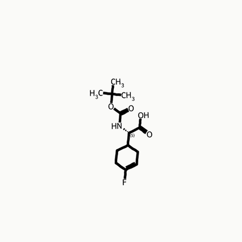 CC(C)(C)OC(=O)N[C@H](C(=O)O)C1CC=C(F)CC1